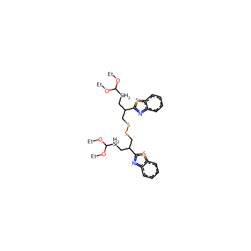 CCOC(OCC)[SiH2]CC(CSSCC(C[SiH2]C(OCC)OCC)c1nc2ccccc2s1)c1nc2ccccc2s1